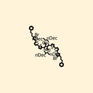 CCCCCCCCCCCCC(CCCCCCCCCC)CN1C(=O)C2=C(c3ccc(-c4ccc(-c5cc(CCCc6ccccc6)c(Br)s5)s4)s3)N(CC(CCCCCCCCCC)CCCCCCCCCCCC)C(=O)C2=C1c1ccc(-c2ccc(-c3cc(CCCc4ccccc4)c(Br)s3)s2)s1